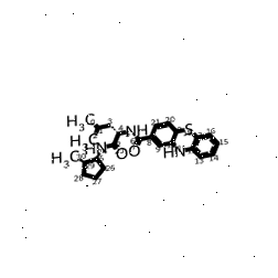 CC(C)C[C@H](NC(=O)C1=CC2Nc3ccccc3SC2C=C1)C(=O)N[C@H]1CCC[C@H]1C